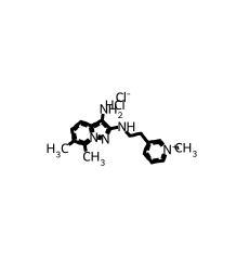 Cc1ccc2c(N)c(NCCc3ccc[n+](C)c3)nn2c1C.Cl.[Cl-]